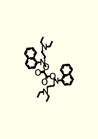 CCN(CC)CCN(OC(=O)C(=O)ON(CCN(CC)CC)c1cccc2ccccc12)c1cccc2ccccc12